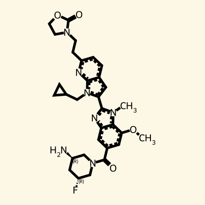 COc1cc(C(=O)N2C[C@H](N)C[C@@H](F)C2)cc2nc(-c3cc4ccc(CCN5CCOC5=O)nc4n3CC3CC3)n(C)c12